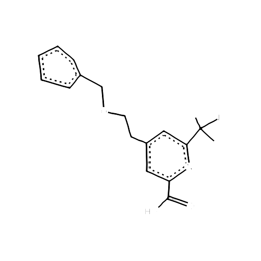 O=C(O)c1cc(CCOCc2ccccc2)cc(C(F)(F)F)n1